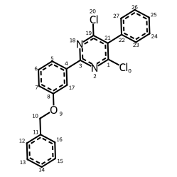 Clc1nc(-c2cccc(OCc3ccccc3)c2)nc(Cl)c1-c1ccccc1